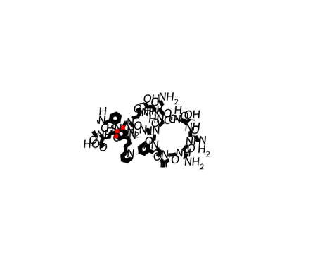 CNC(=O)c1ccccc1Sc1ccc2c(/C=C/c3ccccn3)nn(C(=O)N(CCNC(=O)CC[C@H](NC(C)=O)C(=O)O)CCC(=O)N[C@H](C(=O)N[C@@H](CCN)C(=O)N[C@H]3CCNC(=O)[C@H]([C@@H](C)O)NC(=O)[C@H](CCN)NC(=O)[C@H](CCN)NC(=O)[C@H](CC(C)C)NC(=O)[C@@H](Cc4ccccc4)NC(=O)[C@H](CCN)NC3=O)[C@@H](C)O)c2c1